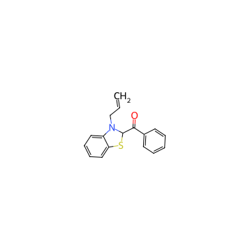 C=CCN1c2ccccc2SC1C(=O)c1ccccc1